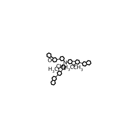 CC1(C)c2cc(-c3ccc4ccccc4c3)ccc2-c2ccc(N(c3cccc(-c4ccc5oc6ccccc6c5c4)c3)c3ccc4c(c3)C(C)(C)c3cc(-c5ccc6ccccc6c5)ccc3-4)cc21